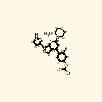 CCC(=O)Nc1ccc(-c2cc(N3CCOC[C@H]3C)nc3c2cnn3-c2cc[nH]n2)c(F)c1